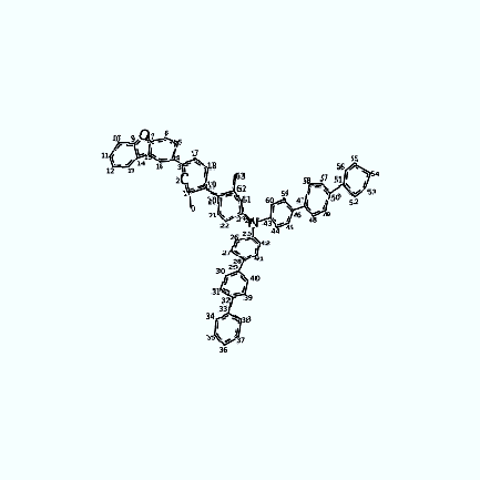 Cc1cc(-c2ccc3oc4ccccc4c3c2)ccc1-c1ccc(N(c2ccc(-c3ccc(-c4ccccc4)cc3)cc2)c2ccc(-c3ccc(-c4ccccc4)cc3)cc2)cc1C